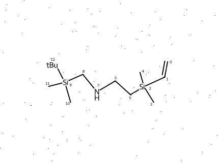 C=C[Si](C)(C)CCNC[Si](C)(C)C(C)(C)C